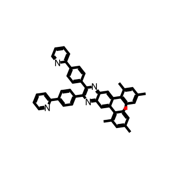 Cc1cc(C)c(-c2cc3nc(-c4ccc(-c5ccccn5)cc4)c(-c4ccc(-c5ccccn5)cc4)nc3cc2-c2c(C)cc(C)cc2C)c(C)c1